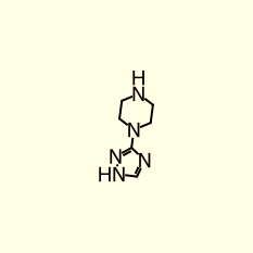 c1nc(N2CCNCC2)n[nH]1